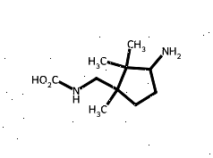 CC1(CNC(=O)O)CCC(N)C1(C)C